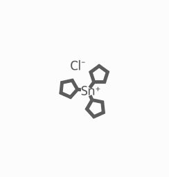 C1CC[CH]([Sn+]([CH]2CCCC2)[CH]2CCCC2)C1.[Cl-]